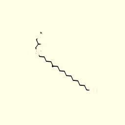 CCCCCCCCCCCC(=O)CCCC[N+](C)(C)CC(O)CS(=O)(=O)[O-]